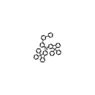 c1ccc(-c2cccc(-c3cccc(N(c4ccc5c(c4)C(c4ccccc4)(c4ccccc4)c4ccccc4-5)c4ccc5c(c4)C(c4ccccc4)(c4ccccc4)c4ccccc4-5)c3)c2)cc1